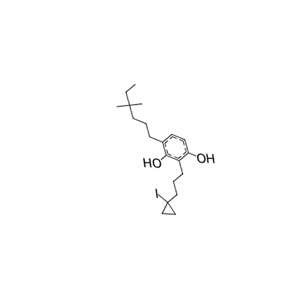 CCC(C)(C)CCCc1ccc(O)c(CCCC2(I)CC2)c1O